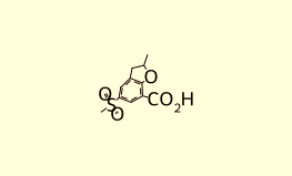 CC1Cc2cc(S(C)(=O)=O)cc(C(=O)O)c2O1